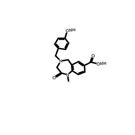 COC(=O)c1ccc2c(c1)CN(Cc1ccc(OC)cc1)CC(=O)N2C